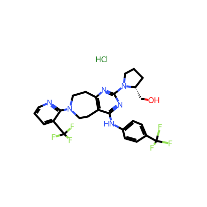 Cl.OC[C@H]1CCCN1c1nc2c(c(Nc3ccc(C(F)(F)F)cc3)n1)CCN(c1ncccc1C(F)(F)F)CC2